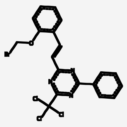 ClC(Cl)(Cl)c1nc(C=Cc2ccccc2OCBr)nc(-c2ccccc2)n1